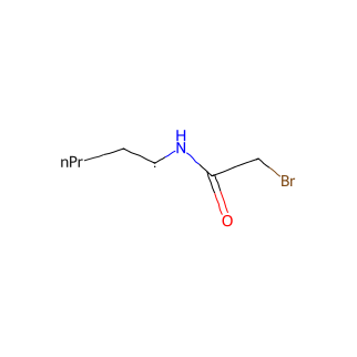 CCCC[CH]NC(=O)CBr